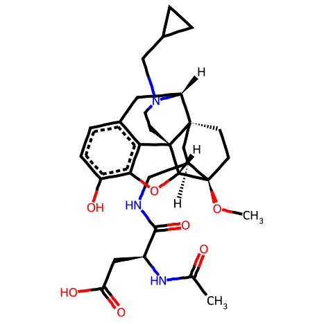 CO[C@]12CC[C@@]3(C[C@@H]1CNC(=O)[C@H](CC(=O)O)NC(C)=O)[C@H]1Cc4ccc(O)c5c4[C@@]3(CCN1CC1CC1)[C@H]2O5